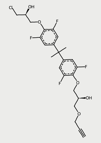 C#CCOC[C@H](O)COc1c(F)cc(C(C)(C)c2cc(F)c(OC[C@H](O)CCl)c(F)c2)cc1F